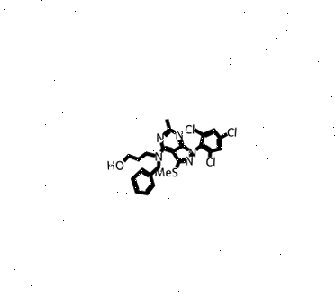 CSc1nn(-c2c(Cl)cc(Cl)cc2Cl)c2nc(C)nc(N(CCCO)Cc3ccccc3)c12